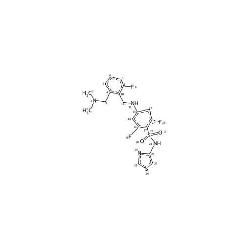 CN(C)Cc1cccc(F)c1CNc1cc(F)c(S(=O)(=O)Nc2cscn2)c(F)c1